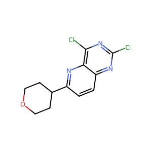 Clc1nc(Cl)c2nc(C3CCOCC3)ccc2n1